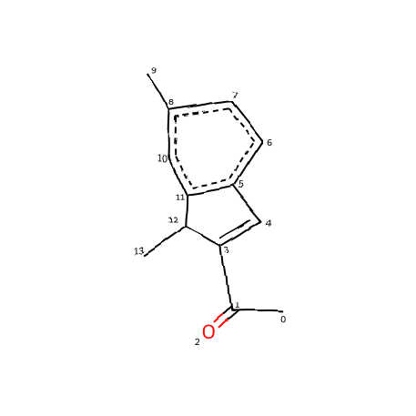 CC(=O)C1=Cc2ccc(C)cc2C1C